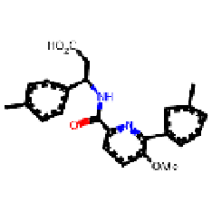 COc1ccc(C(=O)NC(CC(=O)O)c2ccc(C)cc2)nc1-c1cccc(C)c1